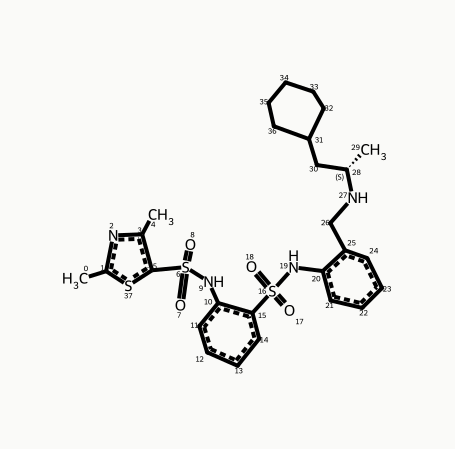 Cc1nc(C)c(S(=O)(=O)Nc2ccccc2S(=O)(=O)Nc2ccccc2CN[C@@H](C)CC2CCCCC2)s1